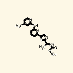 Cc1ccnc(Nc2cccc(-c3cnc(C(C)NC(=O)OC(C)(C)C)s3)n2)c1